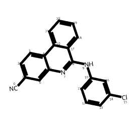 N#Cc1ccc2c(c1)nc(Nc1cccc(Cl)c1)c1ccccc12